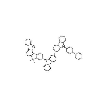 CC1(C)c2cc(-n3c4ccccc4c4ccc(-c5ccc6c7ccccc7n(-c7ccc(-c8ccccc8)cc7)c6c5)cc43)ccc2-c2c1ccc1c2oc2ccccc21